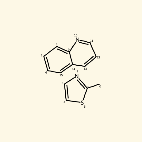 Cc1nccs1.c1ccc2ncccc2c1